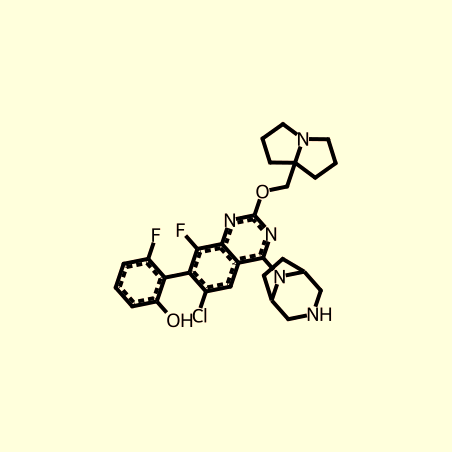 Oc1cccc(F)c1-c1c(Cl)cc2c(N3C4CCC3CNC4)nc(OCC34CCCN3CCC4)nc2c1F